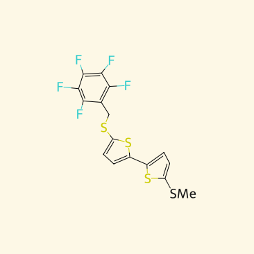 CSc1ccc(-c2ccc(SCc3c(F)c(F)c(F)c(F)c3F)s2)s1